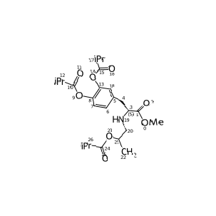 COC(=O)[C@H](Cc1ccc(OC(=O)C(C)C)c(OC(=O)C(C)C)c1)NCC(C)OC(=O)C(C)C